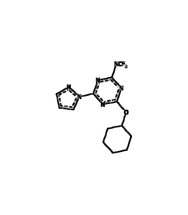 FC(F)(F)Nc1nc(OC2CCCCC2)nc(-n2cccn2)n1